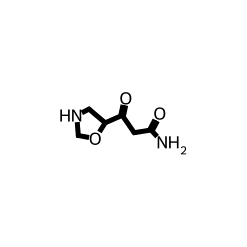 NC(=O)CC(=O)C1CNCO1